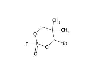 CCC1OP(=O)(F)OCC1(C)C